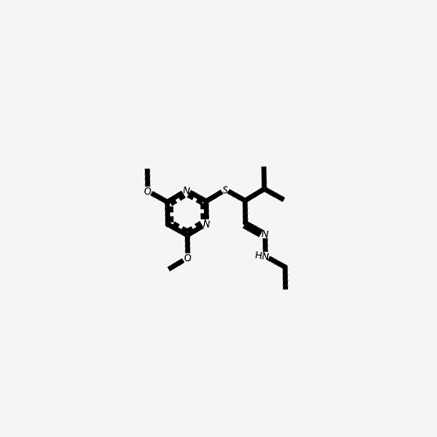 CCNN=CC(Sc1nc(OC)cc(OC)n1)C(C)C